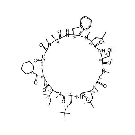 CC[C@H](C)[C@H]1C(=O)N[C@H](C(=O)N2CCCCC2)C[S+]([O-])CC(=O)N(C)[C@@H](C)C(=O)N[C@@H](Cc2ccccc2)C(=O)N(C)[C@@H](CC(C)C)C(=O)N[C@@H]([C@@H](C)O)C(=O)N(C)CC(=O)N(C)[C@@H](CC(C)C)C(=O)N[C@@H](COC(C)(C)C)C(=O)N1C